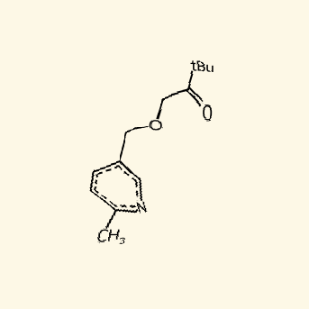 Cc1ccc(COCC(=O)C(C)(C)C)cn1